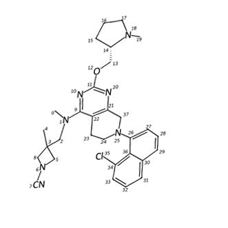 CN(CC1(C)CN(C#N)C1)c1nc(OC[C@@H]2CCCN2C)nc2c1CCN(c1cccc3cccc(Cl)c13)C2